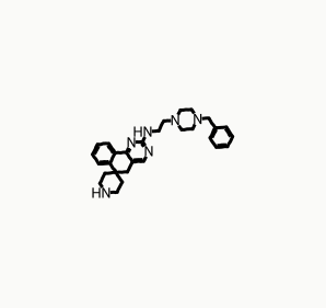 c1ccc(CN2CCN(CCNc3ncc4c(n3)-c3ccccc3C3(CCNCC3)C4)CC2)cc1